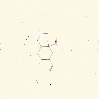 C=CC1CCC(CN(C)C)C(C(N)=O)(C(C)(C)C)C1